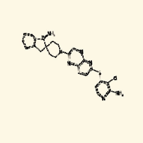 Nc1nccc(Sc2ccc3nc(N4CCC5(CC4)Cc4ccccc4[C@H]5N)cnc3n2)c1Cl